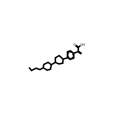 C=C(C(=O)O)c1ccc(C2CCC(C3CCC(CCCC)CC3)CC2)cc1